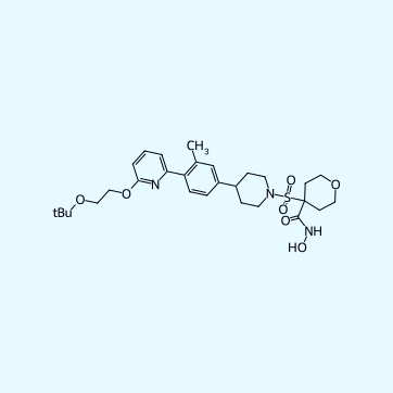 Cc1cc(C2CCN(S(=O)(=O)C3(C(=O)NO)CCOCC3)CC2)ccc1-c1cccc(OCCOC(C)(C)C)n1